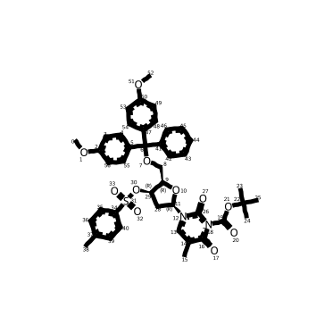 COc1ccc(C(OC[C@H]2O[C@@H](n3cc(C)c(=O)n(C(=O)OC(C)(C)C)c3=O)C[C@H]2OS(=O)(=O)c2ccc(C)cc2)(c2ccccc2)c2ccc(OC)cc2)cc1